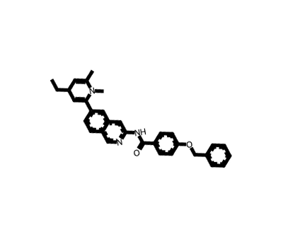 CCC1C=C(C)N(C)C(c2ccc3cnc(NC(=O)c4ccc(OCc5ccccc5)cc4)cc3c2)=C1